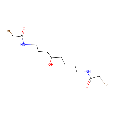 O=C(CBr)NCCCCC(O)CCCNC(=O)CBr